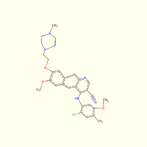 COc1cc(Nc2c(C#N)cnc3cc4cc(OCCN5CCN(C)CC5)c(OC)cc4cc23)c(Cl)cc1C